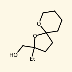 CCC1(CO)CCC2(CCCCO2)O1